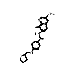 Cc1c(NC(=O)c2ccc(OCC3CCCO3)cc2)ccc2cc(C=O)cnc12